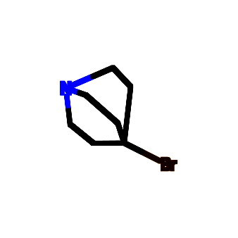 BrC12CCN(CC1)CC2